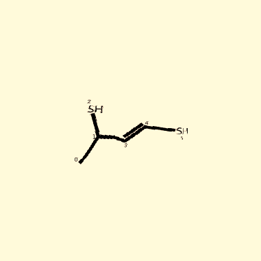 CC(S)C=CS